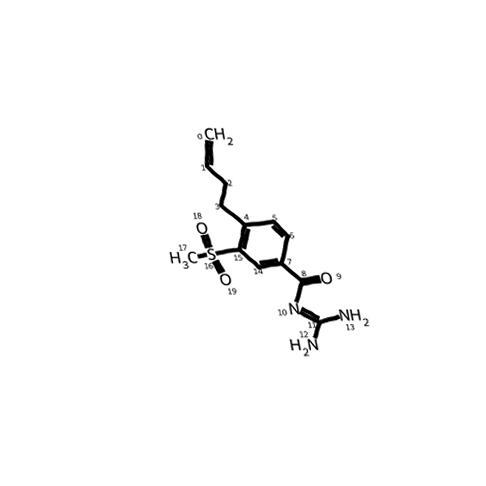 C=CCCc1ccc(C(=O)N=C(N)N)cc1S(C)(=O)=O